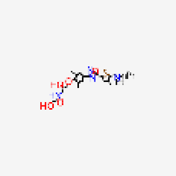 CCCN(CC)Cc1sc(-c2nc(-c3cc(C)c(OCC(O)CNC(=O)CO)c(C)c3)no2)cc1C